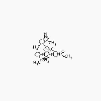 C=CC(=O)N1CCN(c2nc(=O)n(-c3ccccc3C(C)C)c3c2CCN(c2c(C)ccc4[nH]nc(C)c24)C3)C(C)C1